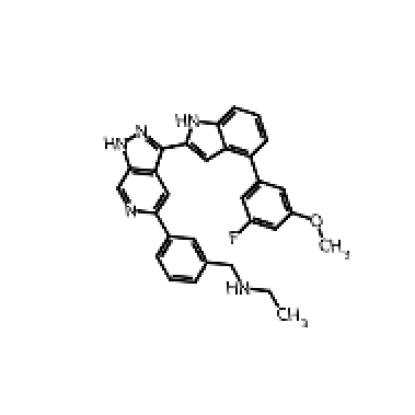 CCNCc1cccc(-c2cc3c(-c4cc5c(-c6cc(F)cc(OC)c6)cccc5[nH]4)n[nH]c3cn2)c1